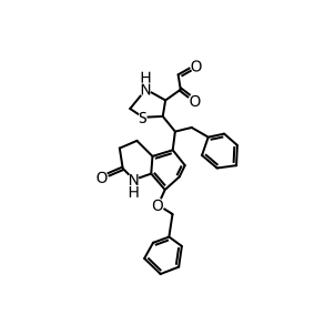 O=CC(=O)C1NCSC1C(Cc1ccccc1)c1ccc(OCc2ccccc2)c2c1CCC(=O)N2